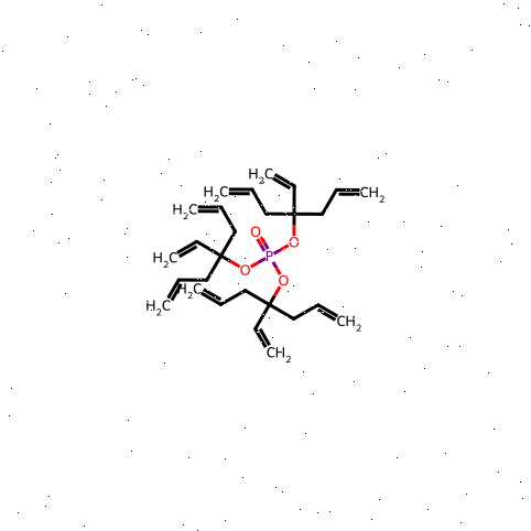 C=CCC(C=C)(CC=C)OP(=O)(OC(C=C)(CC=C)CC=C)OC(C=C)(CC=C)CC=C